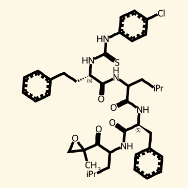 CC(C)CC(NC(=O)[C@H](CCc1ccccc1)NC(=S)Nc1ccc(Cl)cc1)C(=O)N[C@@H](Cc1ccccc1)C(=O)NC(CC(C)C)C(=O)C1(C)CO1